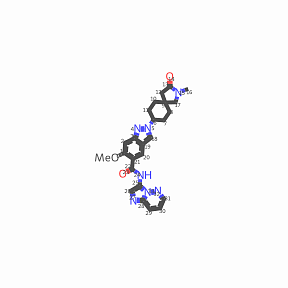 COc1cc2nn(C3CCC4(CC3)CC(=O)N(C)C4)cc2cc1C(=O)Nc1cnc2cccnn12